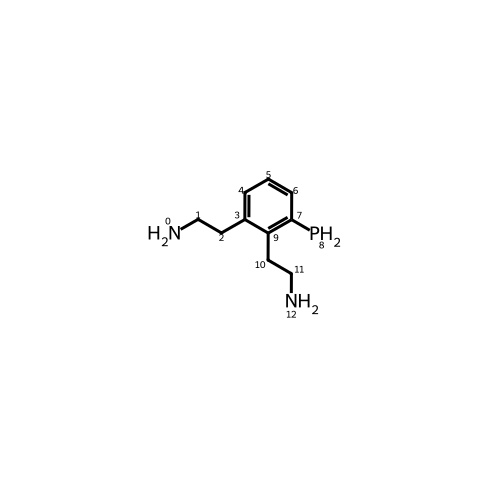 NCCc1cccc(P)c1CCN